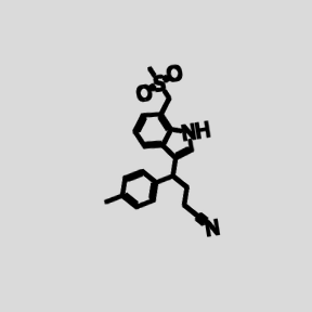 Cc1ccc(C(CCC#N)c2c[nH]c3c(CS(C)(=O)=O)cccc23)cc1